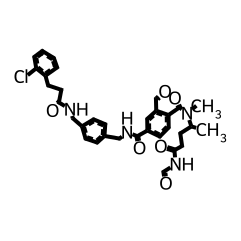 CC(CCC(=O)NC=O)N(C)C(=O)c1ccc(C(=O)NCc2ccc(CNC(=O)CCc3ccccc3Cl)cc2)cc1C=O